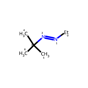 CC/N=N/C(C)(C)C